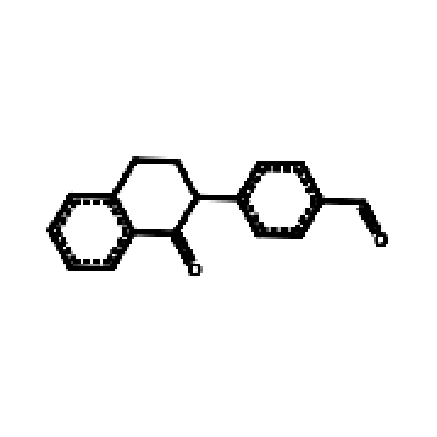 O=Cc1ccc(C2CCc3ccccc3C2=O)cc1